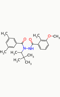 COc1cccc(C(=O)NN(C(=O)c2cc(C)cc(C)c2)C(C)C(C)(C)C)c1C